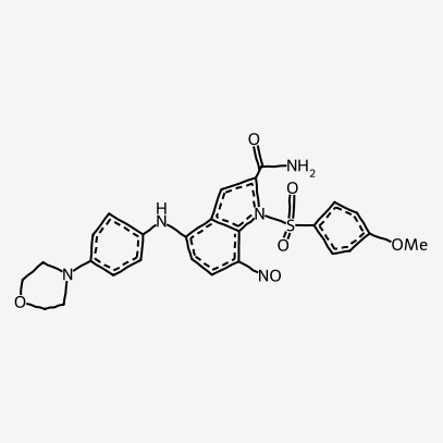 COc1ccc(S(=O)(=O)n2c(C(N)=O)cc3c(Nc4ccc(N5CCOCC5)cc4)ccc(N=O)c32)cc1